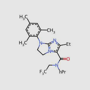 CCCN(CC(F)(F)F)C(=O)c1c(CC)nc2n1CCN2c1c(C)cc(C)cc1C